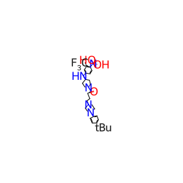 CC(C)(C)c1ccc(N2CCN(CCCC(=O)N3CCC(Nc4ccc(N(O)O)c(C(F)(F)F)c4)CC3)CC2)cc1